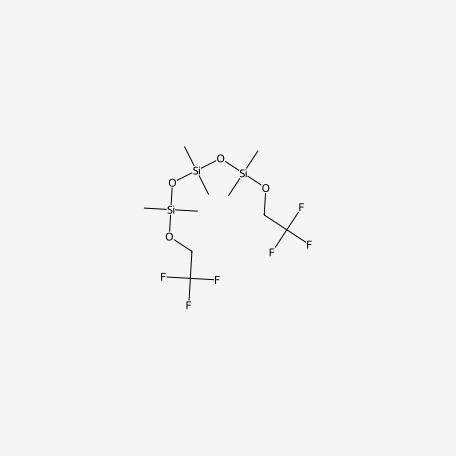 C[Si](C)(OCC(F)(F)F)O[Si](C)(C)O[Si](C)(C)OCC(F)(F)F